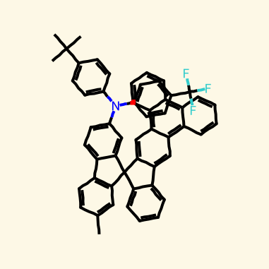 Cc1ccc2c(c1)C1(c3ccccc3-c3cc4c5ccccc5c5ccccc5c4cc31)c1cc(N(c3ccc(C(C)(C)C)cc3)c3ccc(C(F)(F)F)cc3)ccc1-2